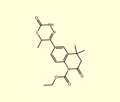 CCOC(=O)N1C(=O)CC(C)(C)c2cc(C3=NNC(=O)SC3C)ccc21